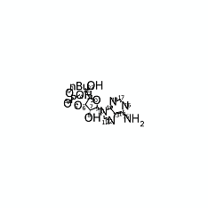 CCCCOP(=O)(O)O[C@H]1[C@@H](O)[C@H](n2cnc3c(N)ncnc32)O[C@@H]1CO